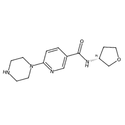 O=C(N[C@@H]1CCOC1)c1ccc(N2CCNCC2)nc1